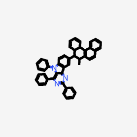 CC1c2ccc3ccccc3c2C2C=CC=CC2C1c1ccc2c(c1)c1nc(-c3ccccc3)nc(-c3ccccc3)c1n2-c1ccccc1